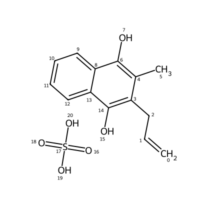 C=CCc1c(C)c(O)c2ccccc2c1O.O=S(=O)(O)O